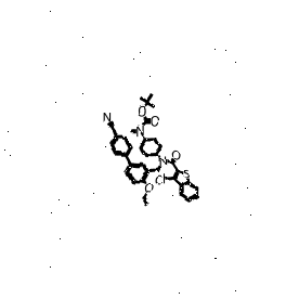 CCOc1ccc(-c2ccc(C#N)cc2)cc1CN(C(=O)c1sc2ccccc2c1Cl)[C@H]1CC[C@H](N(C)C(=O)OC(C)(C)C)CC1